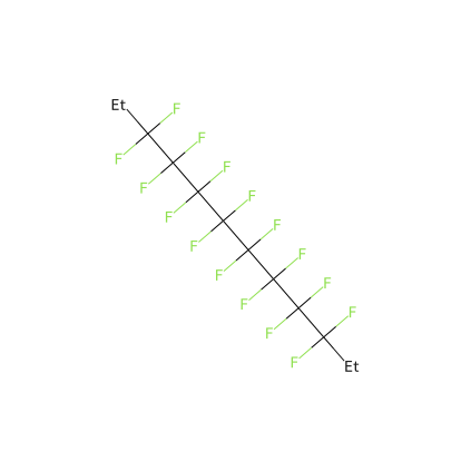 CCC(F)(F)C(F)(F)C(F)(F)C(F)(F)C(F)(F)C(F)(F)C(F)(F)C(F)(F)CC